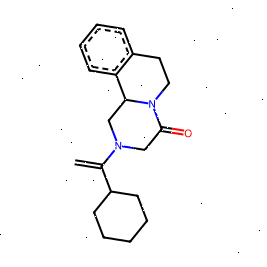 C=C(C1CCCCC1)N1CC(=O)N2CCc3ccccc3C2C1